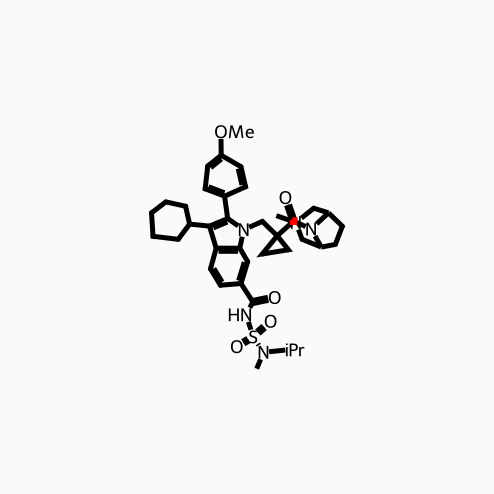 COc1ccc(-c2c(C3CCCCC3)c3ccc(C(=O)NS(=O)(=O)N(C)C(C)C)cc3n2CC2(C(=O)N3C4CCC3CN(C)C4)CC2)cc1